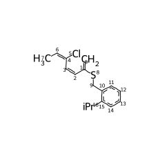 C=C(/C=C\C(Cl)=C/C)SCc1ccccc1C(C)C